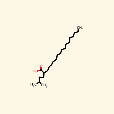 CCCCCCCCCCCCCCCCC(CCC(C)C)C(=O)O